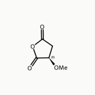 CO[C@@H]1CC(=O)OC1=O